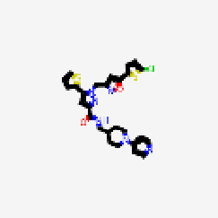 O=C(NCC1CCN(c2ccncc2)CC1)c1cc(-c2cccs2)n(Cc2cc(-c3ccc(Cl)s3)on2)n1